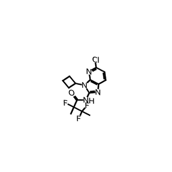 CC(F)(F)C(C)(F)C(=O)Nc1nc2ccc(Cl)nc2n1C1CCC1